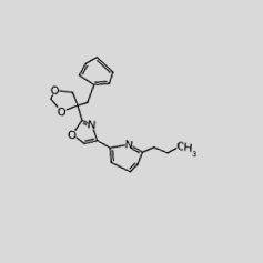 CCCc1cccc(-c2coc(C3(Cc4ccccc4)COCO3)n2)n1